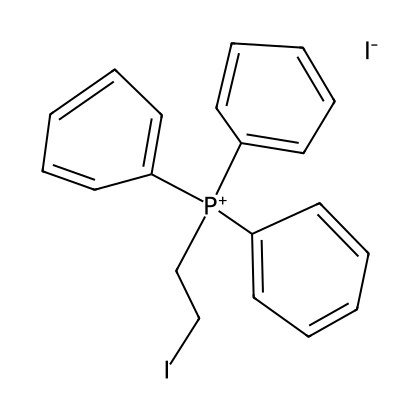 ICC[P+](c1ccccc1)(c1ccccc1)c1ccccc1.[I-]